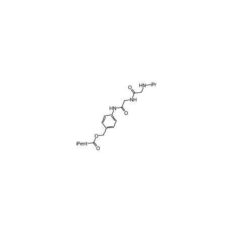 CCCC(C)C(=O)OCc1ccc(NC(=O)CNC(=O)CNC(C)C)cc1